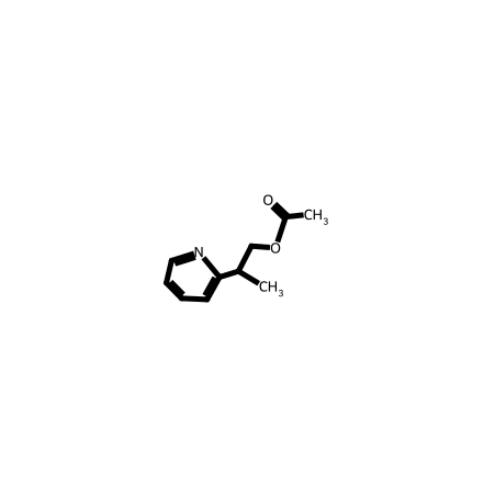 CC(=O)OCC(C)c1ccccn1